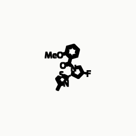 COc1ccccc1C(=O)N1C[C@@H](F)C[C@@H]1c1nc(C)cs1